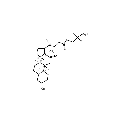 C[C@H](CCC(=O)OCC(F)(F)S(=O)(=O)O)C1CC[C@H]2[C@@H]3CCC4CC(O)CC[C@]4(C)[C@H]3CC(=O)[C@]12C